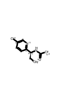 O=C(N[C@@H](CO)c1ccc(Cl)cn1)C(F)(F)F